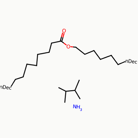 CC(C)C(C)C.CCCCCCCCCCCCCCCCCC(=O)OCCCCCCCCCCCCCCCC.N